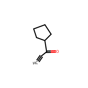 C#CC(=O)C1CCCC1